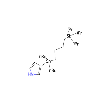 CCC[CH2][Sn]([CH2]CCC)([CH2]CCC[Si](C(C)C)(C(C)C)C(C)C)[c]1cc[nH]c1